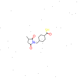 CC1CC(=O)N(CC2CCC(C(=O)S)CC2)C1=O